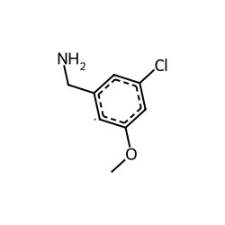 COc1[c]c(CN)cc(Cl)c1